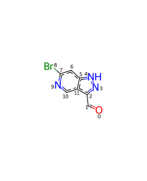 O=Cc1n[nH]c2cc(Br)ncc12